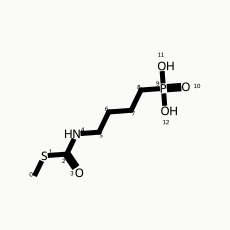 CSC(=O)NCCCCP(=O)(O)O